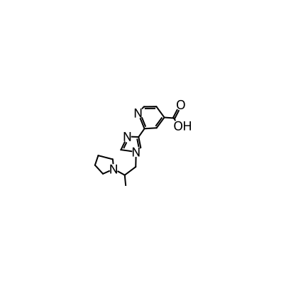 CC(Cn1cnc(-c2cc(C(=O)O)ccn2)c1)N1CCCC1